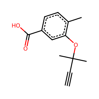 C#CC(C)(C)Oc1cc(C(=O)O)ccc1C